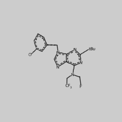 CC(C)(C)c1nc(N(CF)CC(F)(F)F)c2ncn(Cc3cccc(Cl)c3)c2n1